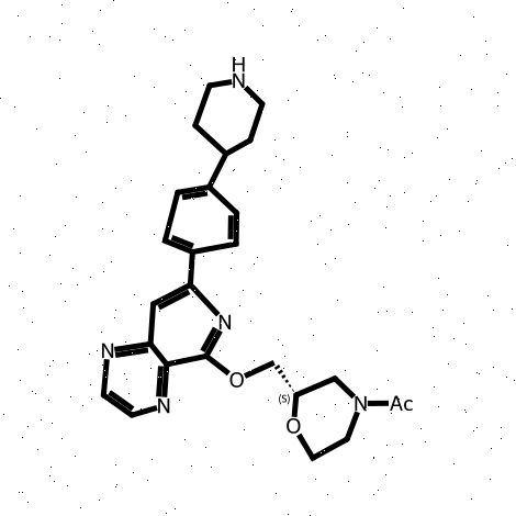 CC(=O)N1CCO[C@H](COc2nc(-c3ccc(C4CCNCC4)cc3)cc3nccnc23)C1